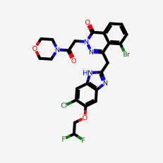 O=C(Cn1nc(Cc2nc3cc(OCC(F)F)c(Cl)cc3[nH]2)c2c(Br)cccc2c1=O)N1CCOCC1